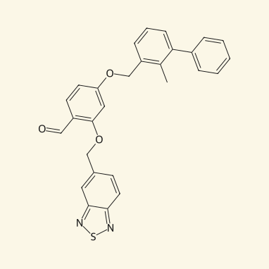 Cc1c(COc2ccc(C=O)c(OCc3ccc4nsnc4c3)c2)cccc1-c1ccccc1